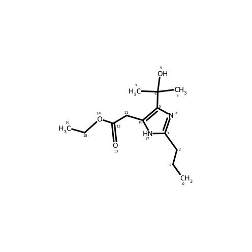 CCCc1nc(C(C)(C)O)c(CC(=O)OCC)[nH]1